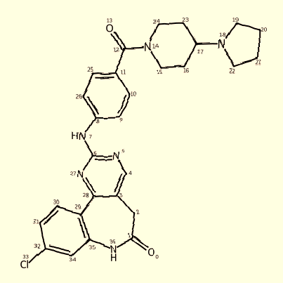 O=C1Cc2cnc(Nc3ccc(C(=O)N4CCC(N5CCCC5)CC4)cc3)nc2-c2ccc(Cl)cc2N1